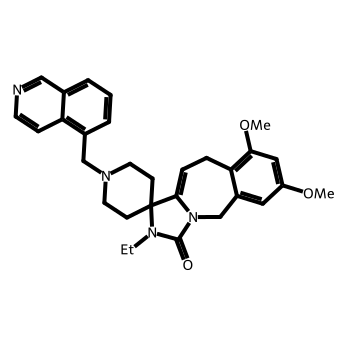 CCN1C(=O)N2Cc3cc(OC)cc(OC)c3CC=C2C12CCN(Cc1cccc3cnccc13)CC2